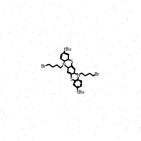 CC(C)(C)C1=CC2SC3=CC4C(=CC3N(CCCCBr)C2C=C1)Sc1cc(C(C)(C)C)ccc1N4CCCCBr